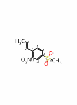 C/C=C/c1ccc(S(C)(=O)=O)cc1[N+](=O)[O-]